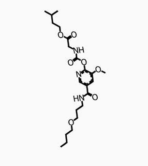 CCCCOCCCNC(=O)c1cnc(OC(=O)NCC(=O)OCCC(C)C)c(OC)c1